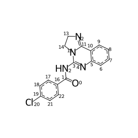 O=C(NC1=Nc2ccccc2C2=NCCN12)c1ccc(Cl)cc1